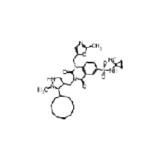 Cc1ncc(Cn2c(=O)n(CC3CNN(C)C3C3CCCCCCCCC3)c(=O)c3cc(S(=O)(=O)NC4(C#N)CC4)ccc32)o1